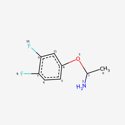 CC(N)Oc1ccc(F)c(F)c1